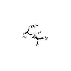 O=C(O)C(F)C(=O)O.[Na+].[O-]B(O)O